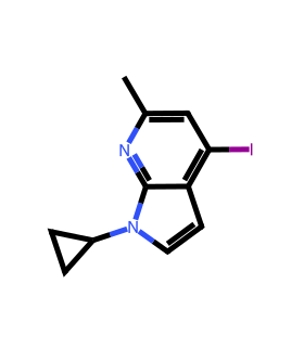 Cc1cc(I)c2ccn(C3CC3)c2n1